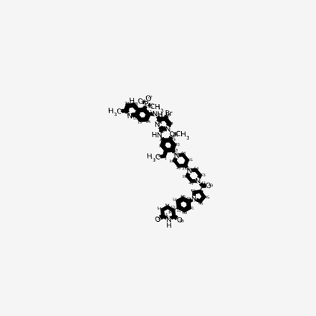 CCc1cc(Nc2ncc(Br)c(Nc3ccc4nc(C)ccc4c3P(C)(C)=O)n2)c(OC)cc1N1CCC(N2CCN(C(=O)[C@@H]3CCN(c4ccc([C@H]5CCC(=O)NC5=O)cc4)C3)CC2)CC1